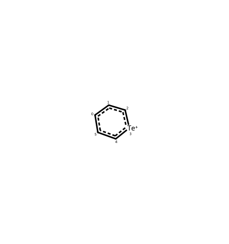 c1cc[te+]cc1